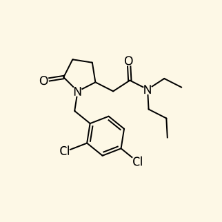 CCCN(CC)C(=O)CC1CCC(=O)N1Cc1ccc(Cl)cc1Cl